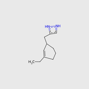 CCC1=CC(Cc2c[nH][nH]2)CCC1